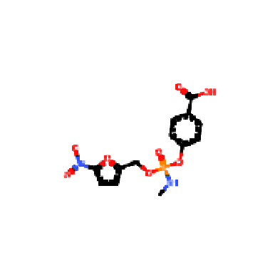 CNP(=O)(OCc1ccc([N+](=O)[O-])o1)Oc1ccc(C(=O)O)cc1